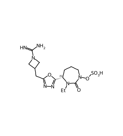 CCN1C(=O)N(OS(=O)(=O)O)CCC[C@H]1c1nnc(CC2CN(C(=N)N)C2)o1